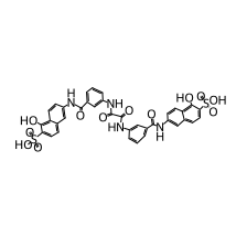 O=C(Nc1cccc(C(=O)Nc2ccc3c(O)c(S(=O)(=O)O)ccc3c2)c1)C(=O)Nc1cccc(C(=O)Nc2ccc3c(O)c(S(=O)(=O)O)ccc3c2)c1